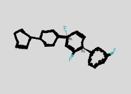 FC1=C[C@@](F)(C2CCC(C3CCCC3)CC2)C=C[C@H]1c1cccc(F)c1